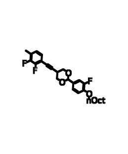 CCCCCCCCOc1ccc(C2OCC(C#Cc3ccc(C)c(F)c3F)CO2)cc1F